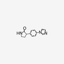 O=C1NCCC1c1ccc(-n2ccnc2)cc1